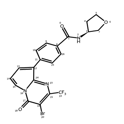 O=C(N[C@H]1CCOC1)c1ccc(-c2cccn3c(=O)c(Br)c(C(F)(F)F)nc23)cc1